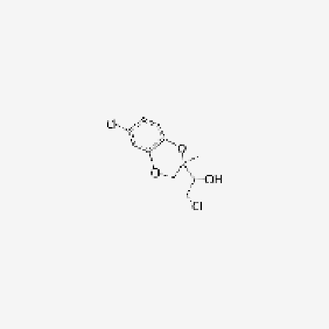 CC1(C(O)CCl)COc2cc(Cl)ccc2O1